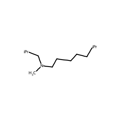 CC(C)CCCCCN(C)CC(C)C